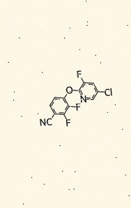 N#Cc1ccc(Oc2ncc(Cl)cc2F)c(F)c1F